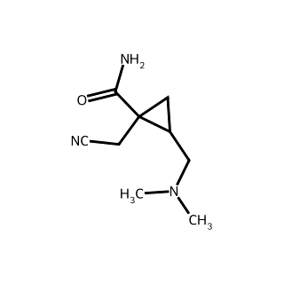 CN(C)CC1CC1(CC#N)C(N)=O